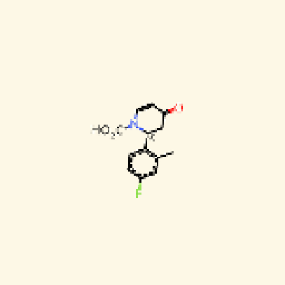 Cc1cc(F)ccc1[C@@H]1CC(=O)C=CN1C(=O)O